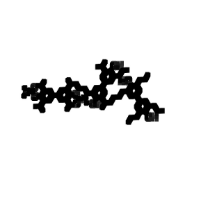 CCCc1cc(-c2cc(CCC)c(O)c(CCCCC(C)c3cc(-c4cc(CCC)c(O)c(C(C)C)c4)cc(CCCCC(C)c4cc(-c5cc(C(C)C)c(OC(=O)N(C)C)c(C(C)C)c5)cc(C(C)C)c4OC(=O)N(C)C)c3O)c2)cc(CCC)c1O